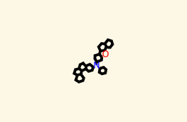 c1ccc(N(c2ccc3c(ccc4ccc5ccccc5c43)c2)c2ccc3c(c2)oc2c4ccccc4ccc32)cc1